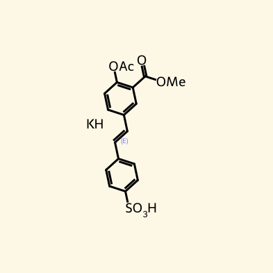 COC(=O)c1cc(/C=C/c2ccc(S(=O)(=O)O)cc2)ccc1OC(C)=O.[KH]